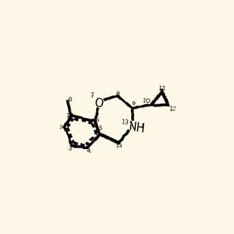 Cc1cccc2c1OCC(C1CC1)NC2